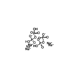 O=P([O-])(O)OP(=O)([O-])O.O=P([O-])([O-])OP(=O)([O-])O.[Na+].[Na+].[Na+].[Na+].[Na+]